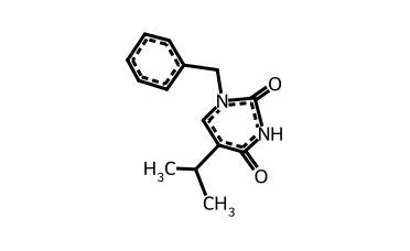 CC(C)c1cn(Cc2ccccc2)c(=O)[nH]c1=O